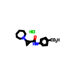 Cl.O=C(O)c1ccc(NC(=O)C2CC2N2CCCCCC2)cc1